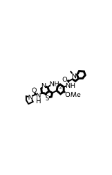 COc1cc(-c2csc3c(NC(=O)N4CCCC4)cnc(N)c23)ccc1NC(=O)c1cc2ccccc2n1C